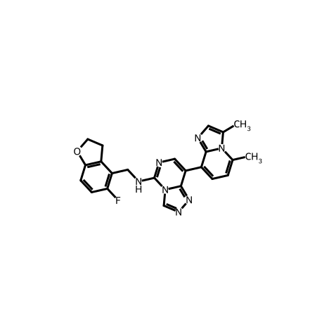 Cc1ccc(-c2cnc(NCc3c(F)ccc4c3CCO4)n3cnnc23)c2ncc(C)n12